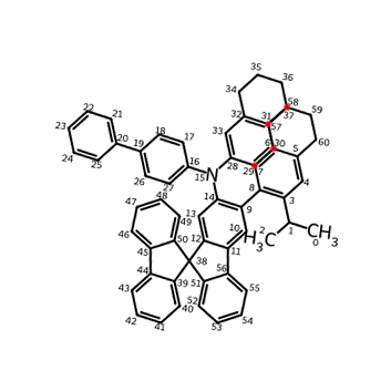 CC(C)c1cc2c(cc1-c1cc3c(cc1N(c1ccc(-c4ccccc4)cc1)c1ccc4c(c1)CCCC4)C1(c4ccccc4-c4ccccc41)c1ccccc1-3)CCCC2